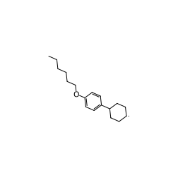 CCCCCCOc1ccc(C2CC[CH]CC2)cc1